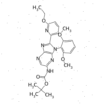 CCOc1cccc(-c2nc3ncc(NC(=O)OC(C)(C)C)nc3n2-c2c(OC)cccc2OC)n1